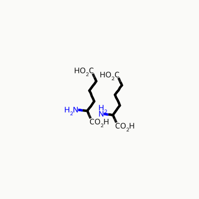 NC(CCCC(=O)O)C(=O)O.NC(CCCC(=O)O)C(=O)O